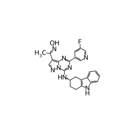 CC(=NO)c1cnn2c(N[C@@H]3CCc4[nH]c5ccccc5c4C3)nc(-c3cncc(F)c3)nc12